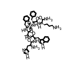 C[C@H](NC(=O)[C@@H](Cc1c[nH]c2ccccc12)NC(=O)[C@@H](N)Cc1c[nH]cn1)C(=O)NN(Cc1ccccc1)S(=O)(=O)N[C@H](Cc1ccccc1)C(=O)N[C@@H](CCCCN)C(N)=O